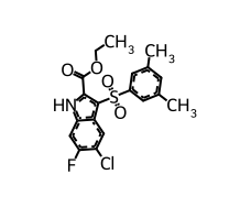 CCOC(=O)c1[nH]c2cc(F)c(Cl)cc2c1S(=O)(=O)c1cc(C)cc(C)c1